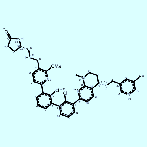 COc1nc(-c2cccc(-c3cccc(-c4ccc5c(n4)N(C)CC[C@@H]5NCc4cncc(F)c4)c3Cl)c2Cl)ccc1CNC[C@@H]1CCC(=O)N1